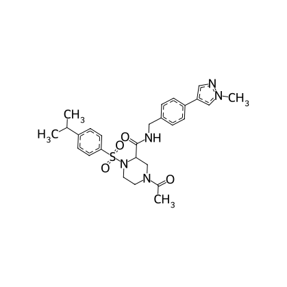 CC(=O)N1CCN(S(=O)(=O)c2ccc(C(C)C)cc2)C(C(=O)NCc2ccc(-c3cnn(C)c3)cc2)C1